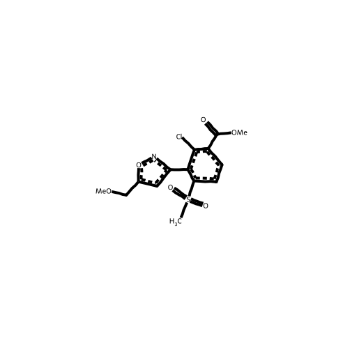 COCc1cc(-c2c(S(C)(=O)=O)ccc(C(=O)OC)c2Cl)no1